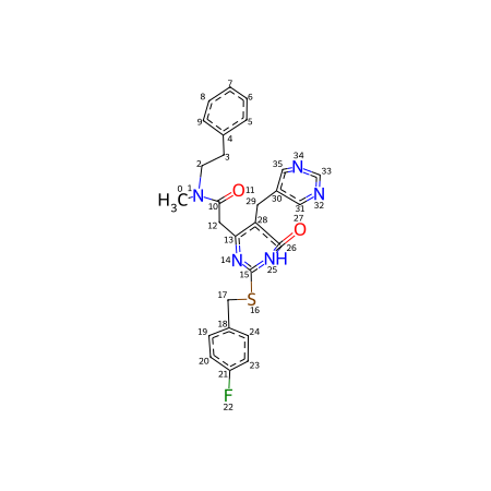 CN(CCc1ccccc1)C(=O)Cc1nc(SCc2ccc(F)cc2)[nH]c(=O)c1Cc1cncnc1